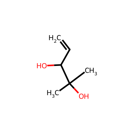 C=CC(O)C(C)(C)O